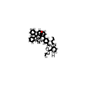 CCCc1nc2c(n1Cc1ccc(-c3ccccc3-c3nnnn3C(c3ccccc3)(c3ccccc3)c3ccccc3)cc1)C(C(=O)OCC)NCC2